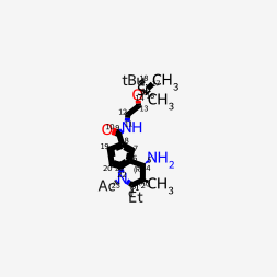 CC[C@H]1[C@H](C)[C@@H](N)c2cc(C(=O)NCCO[Si](C)(C)C(C)(C)C)ccc2N1C(C)=O